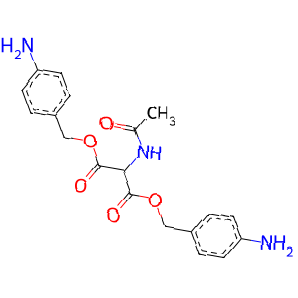 CC(=O)NC(C(=O)OCc1ccc(N)cc1)C(=O)OCc1ccc(N)cc1